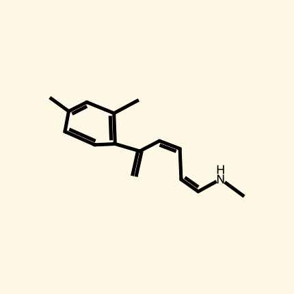 C=C(/C=C\C=C/NC)c1ccc(C)cc1C